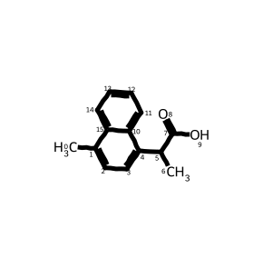 Cc1ccc(C(C)C(=O)O)c2ccccc12